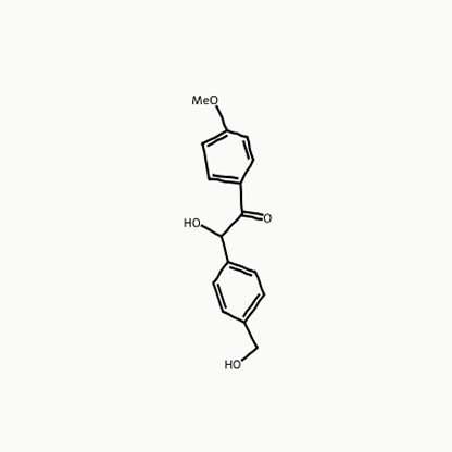 COc1ccc(C(=O)C(O)c2ccc(CO)cc2)cc1